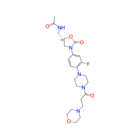 CC(=O)NC[C@H]1CN(c2ccc(N3CCN(C(=O)CCN4CCOCC4)CC3)c(F)c2)C(=O)O1